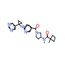 CN(C(=O)C1(C)CCC1)[C@H]1CCN(C(=O)c2ccc(NC3(c4cncnc4)CC3)nc2)C1